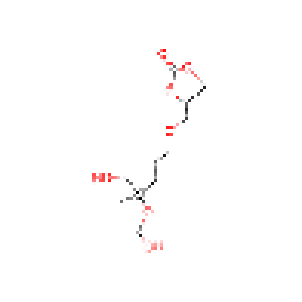 C[Si](CO)(CCCOCC1COC(=O)O1)OCO